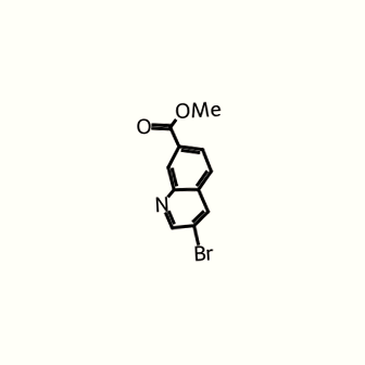 COC(=O)c1ccc2cc(Br)cnc2c1